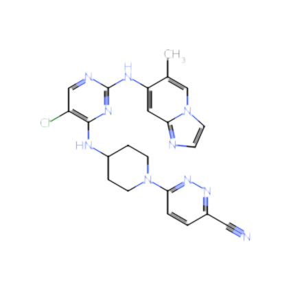 Cc1cn2ccnc2cc1Nc1ncc(Cl)c(NC2CCN(c3ccc(C#N)nn3)CC2)n1